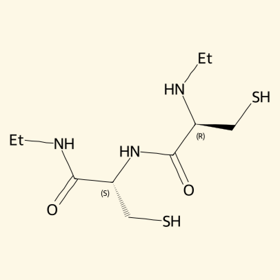 CCNC(=O)[C@@H](CS)NC(=O)[C@H](CS)NCC